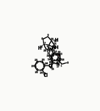 CCn1nc(N[C@@H]2[C@@H]3CC[C@H]2CN(c2cc(C)ncn2)C3)nc1Oc1ccccc1Cl